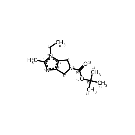 CCn1c(C)nc2c1CN(C(=O)OC(C)(C)C)C2